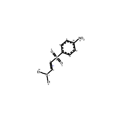 CCN(/C=C/S(=O)(=O)c1ccc([N+](=O)[O-])cc1)CC